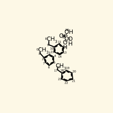 CCc1ccccc1.CCc1ccccc1.CCc1ccccc1.O=P(O)(O)O